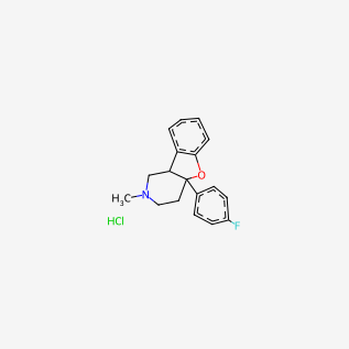 CN1CCC2(c3ccc(F)cc3)Oc3ccccc3C2C1.Cl